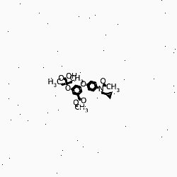 CCC(CC)(Oc1cc(Oc2ccc(N(CC3CC3)C(C)=O)cc2)cc(C(=O)OC)c1)C(=O)O